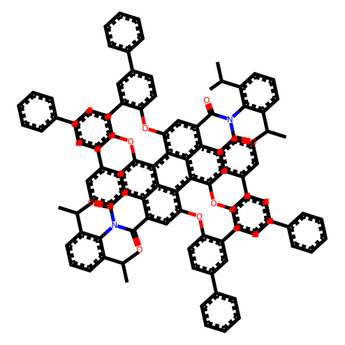 CC(C)c1cccc(C(C)C)c1N1C(=O)c2cc(Oc3ccc(-c4ccccc4)cc3-c3ccccc3)c3c4c(Oc5ccc(-c6ccccc6)cc5-c5ccccc5)cc5c6c(cc(Oc7ccc(-c8ccccc8)cc7-c7ccccc7)c(c7c(Oc8ccc(-c9ccccc9)cc8-c8ccccc8)cc(c2c37)C1=O)c64)C(=O)N(c1c(C(C)C)cccc1C(C)C)C5=O